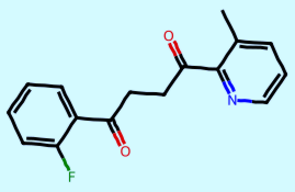 Cc1cccnc1C(=O)CCC(=O)c1ccccc1F